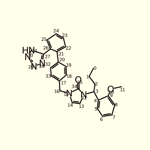 CCCC(c1ccccc1OC)n1ccn(Cc2ccc(-c3ccccc3-c3nnn[nH]3)cc2)c1=O